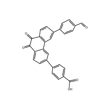 O=Cc1ccc(-c2ccc3c(c2)-c2cc(-c4ccc(C(=O)O)cc4)ccc2C(=O)C3=O)cc1